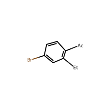 CCc1cc(Br)ccc1C(C)=O